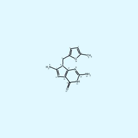 Cc1ccc(Cn2c(N)nc3c(=O)[nH]c(N)nc32)o1